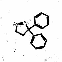 c1ccc(C2(c3ccccc3)CC[As]=[As]2)cc1